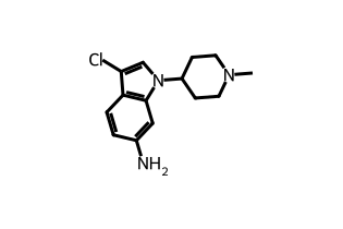 CN1CCC(n2cc(Cl)c3ccc(N)cc32)CC1